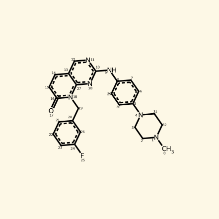 CN1CCN(c2ccc(Nc3ncc4ccc(=O)n(Cc5cccc(F)c5)c4n3)cc2)CC1